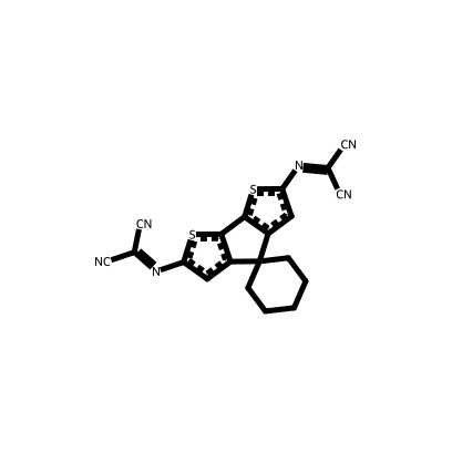 N#CC(C#N)=Nc1cc2c(s1)-c1sc(N=C(C#N)C#N)cc1C21CCCCC1